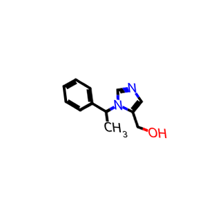 CC(c1ccccc1)n1cncc1CO